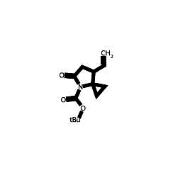 C=CC1CC(=O)N(C(=O)OC(C)(C)C)C12CC2